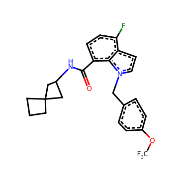 O=C(NC1CC2(CCC2)C1)c1ccc(F)c2ccn(Cc3ccc(OC(F)(F)F)cc3)c12